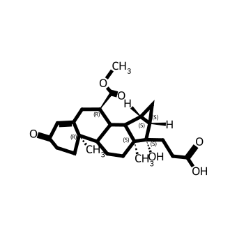 COC(=O)[C@@H]1CC2=CC(=O)CC[C@]2(C)C2CC[C@@]3(C)C(C21)[C@@H]1C[C@@H]1[C@@]3(O)CCC(=O)O